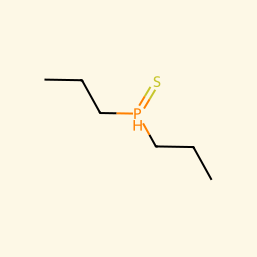 CCC[PH](=S)CCC